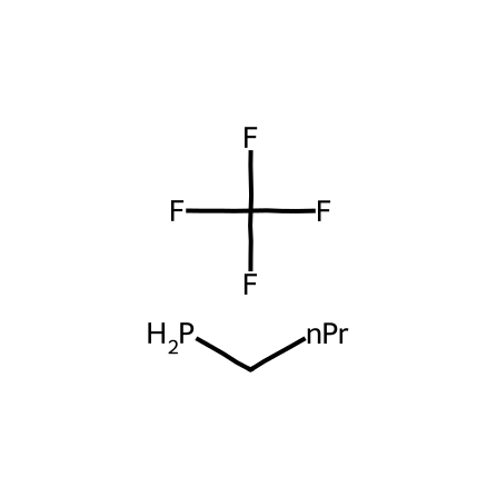 CCCCP.FC(F)(F)F